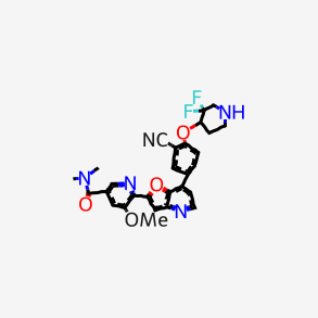 COc1cc(C(=O)N(C)C)cnc1-c1cc2nccc(-c3ccc(OC4CCNCC4(F)F)c(C#N)c3)c2o1